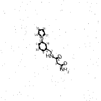 NC(=O)CC(=O)NCc1cccc(-n2cccc2)c1